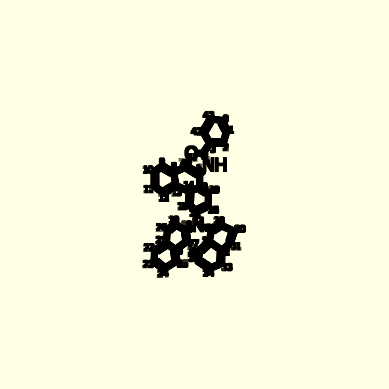 c1ccc(C2Nc3c(c4ccccc4c4cc(N(c5ccc6ccccc6c5)c5cccc6ccccc56)ccc34)O2)cc1